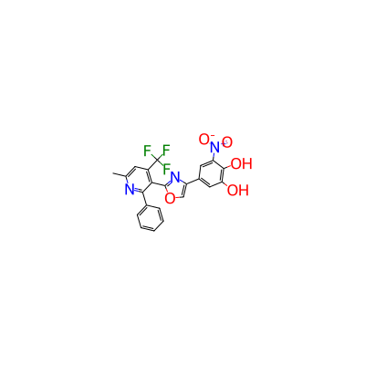 Cc1cc(C(F)(F)F)c(-c2nc(-c3cc(O)c(O)c([N+](=O)[O-])c3)co2)c(-c2ccccc2)n1